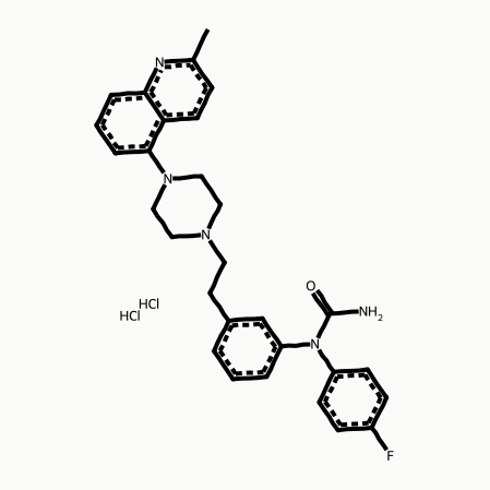 Cc1ccc2c(N3CCN(CCc4cccc(N(C(N)=O)c5ccc(F)cc5)c4)CC3)cccc2n1.Cl.Cl